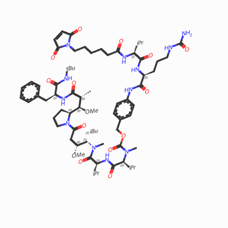 CC[C@H](C)[C@@H]([C@@H](CC(=O)N1CCC[C@H]1[C@H](OC)[C@@H](C)C(=O)N[C@@H](Cc1ccccc1)C(=O)NC(C)(C)C)OC)N(C)C(=O)[C@@H](NC(=O)[C@H](C(C)C)N(C)C(=O)OCc1ccc(NC(=O)[C@H](CCCNC(N)=O)NC(=O)[C@@H](NC(=O)CCCCCN2C(=O)C=CC2=O)C(C)C)cc1)C(C)C